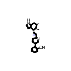 C[C@H]1[C@H](/C=C/c2ccc(-c3ccccc3C#N)cn2)c2cc[nH]c2C[C@@H]1C